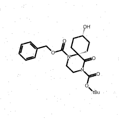 CC(C)(C)OC(=O)N1CCN(C(=O)OCc2ccccc2)[C@]2(CC[C@@H](O)CC2)C1=O